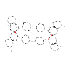 Cc1cccc(N(c2ccccc2)c2ccc3c(c2)C2(c4cc(N(c5cccc(C)c5)c5cccc(C)c5)ccc4-3)c3cc(N(c4cccc(C)c4)c4cccc(C)c4)ccc3-c3ccc(N(c4cccc(C)c4)c4cccc(C)c4)cc32)c1